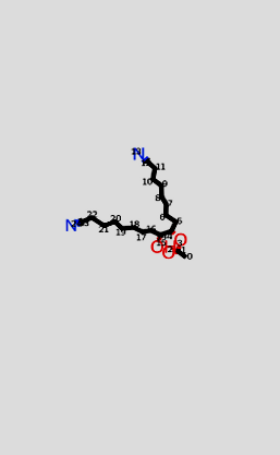 CC(=O)OC(CCCCCCCC#N)C(O)CCCCCCCC#N